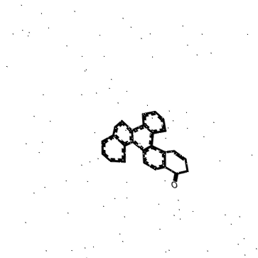 O=C1CC=Cc2c1ccc1c2c2ccccc2c2ccc3ccccc3c21